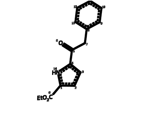 CCOC(=O)c1ccc(C(=O)Cc2ccccc2)[nH]1